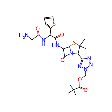 CC(C)(C)C(=O)OCn1nnc(C2N3C(=O)C(NC(=O)C(NC(=O)CN)c4cccs4)C3SC2(C)C)n1